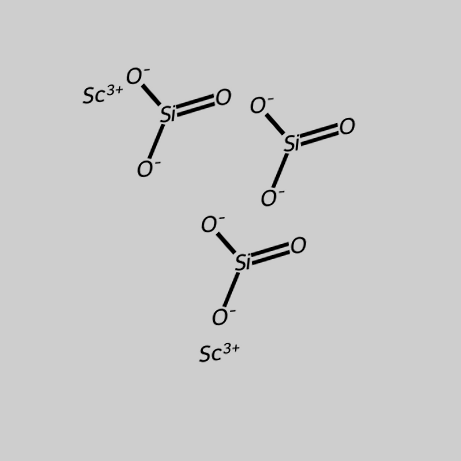 O=[Si]([O-])[O-].O=[Si]([O-])[O-].O=[Si]([O-])[O-].[Sc+3].[Sc+3]